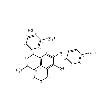 Cl.NC1CCc2cc(O)c(O)c3c2C1CCC3.O=C(O)c1ccccc1.O=C(O)c1ccccc1